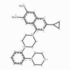 COc1cc2nc(C3CC3)nc(N3CCN(c4ccccc4N4CCOCC4)CC3)c2cc1OC